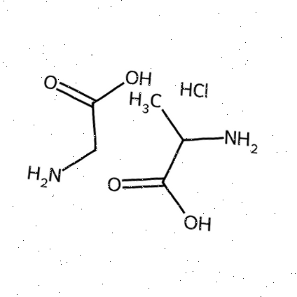 CC(N)C(=O)O.Cl.NCC(=O)O